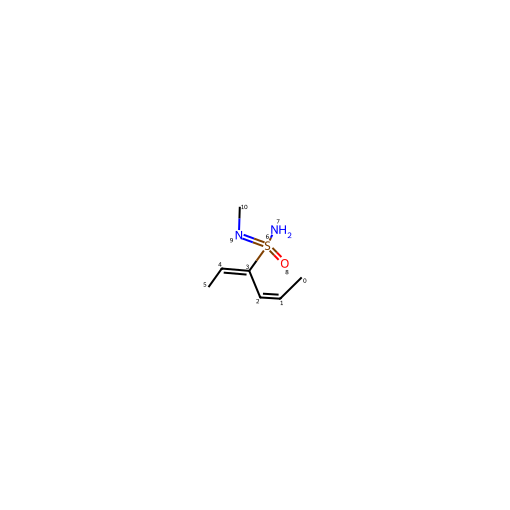 C/C=C\C(=C/C)S(N)(=O)=NC